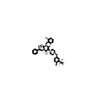 Cc1c(N2CCN(Cc3ccc(F)c(C(F)(F)F)c3)CC2)c(=O)n(C[C@H](N)c2ccccc2)c(=O)n1Cc1c(F)cccc1F